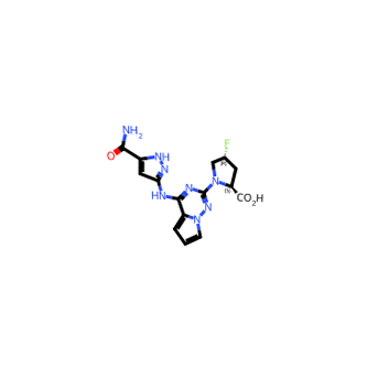 NC(=O)c1cc(Nc2nc(N3C[C@H](F)C[C@H]3C(=O)O)nn3cccc23)n[nH]1